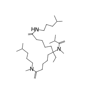 C=C(CCCCC(CC)(CCCCC(=C)N(C)CCCC(C)C)N(C)C(=C)C(C)C)NCCCC(C)C